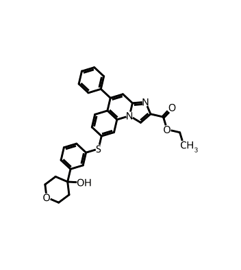 CCOC(=O)c1cn2c(cc(-c3ccccc3)c3ccc(Sc4cccc(C5(O)CCOCC5)c4)cc32)n1